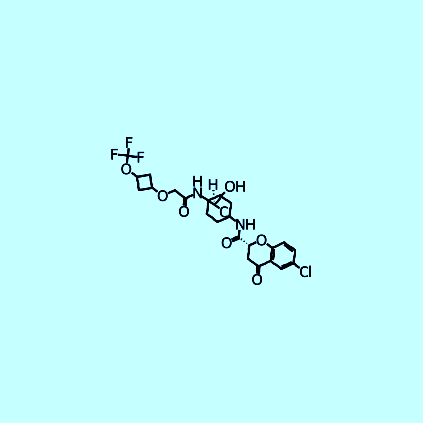 O=C(COC1CC(OC(F)(F)F)C1)NC12CCC(NC(=O)[C@H]3CC(=O)c4cc(Cl)ccc4O3)(CC1)C[C@@H]2O